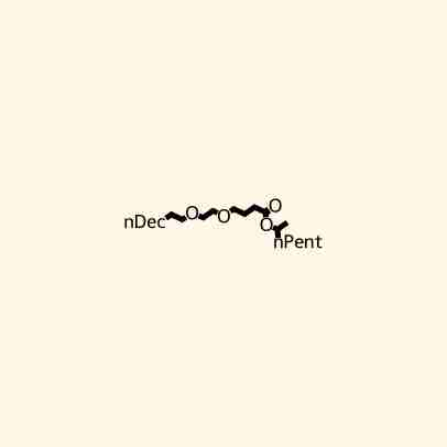 CCCCCCCCCCCCOCCOCCCC(=O)OC(C)CCCCC